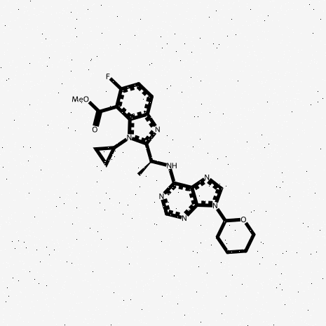 COC(=O)c1c(F)ccc2nc([C@H](C)Nc3ncnc4c3ncn4C3CCCCO3)n(C3CC3)c12